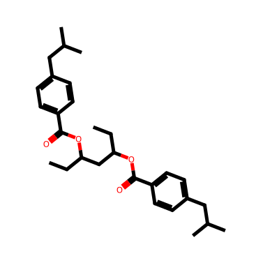 CCC(CC(CC)OC(=O)c1ccc(CC(C)C)cc1)OC(=O)c1ccc(CC(C)C)cc1